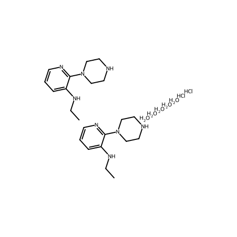 CCNc1cccnc1N1CCNCC1.CCNc1cccnc1N1CCNCC1.Cl.Cl.O.O.O.O.O